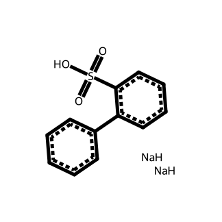 O=S(=O)(O)c1ccccc1-c1ccccc1.[NaH].[NaH]